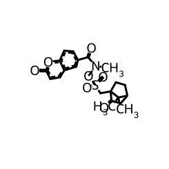 CN(OS(=O)(=O)CC12CCC(CC1=O)C2(C)C)C(=O)c1ccc2oc(=O)ccc2c1